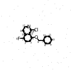 Fc1ccc(OCc2ccccc2)c2c(Cl)nccc12